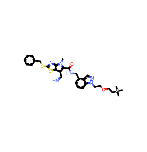 Cn1c(C(=O)NCc2cccc3c2cnn3CCOCC[Si](C)(C)C)c(C=N)c2sc(SCc3ccccc3)nc21